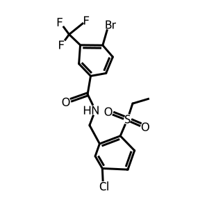 CCS(=O)(=O)c1ccc(Cl)cc1CNC(=O)c1ccc(Br)c(C(F)(F)F)c1